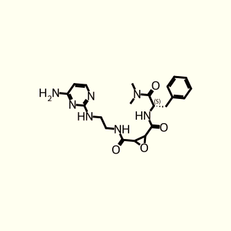 CN(C)C(=O)[C@H](Cc1ccccc1)NC(=O)C1OC1C(=O)NCCNc1nccc(N)n1